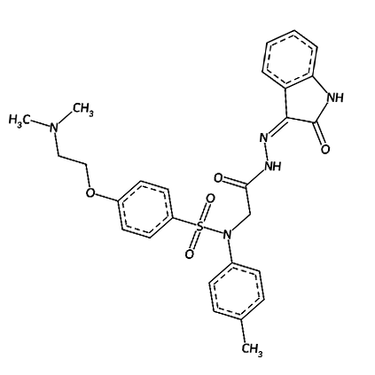 Cc1ccc(N(CC(=O)N/N=C2\C(=O)Nc3ccccc32)S(=O)(=O)c2ccc(OCCN(C)C)cc2)cc1